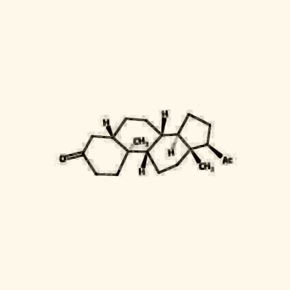 CC(=O)[C@@H]1CC[C@@H]2[C@H]3CC[C@H]4CC(=O)CC[C@]4(C)[C@H]3CC[C@]21C